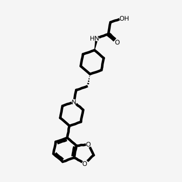 O=C(CO)N[C@H]1CC[C@H](CCN2CCC(c3cccc4c3OCO4)CC2)CC1